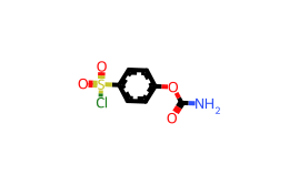 NC(=O)Oc1ccc(S(=O)(=O)Cl)cc1